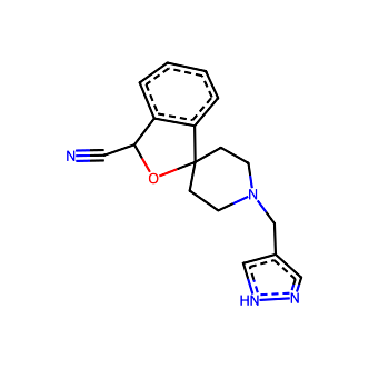 N#CC1OC2(CCN(Cc3cn[nH]c3)CC2)c2ccccc21